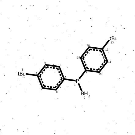 BP(c1ccc(C(C)(C)C)cc1)c1ccc(C(C)(C)C)cc1